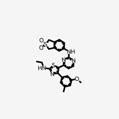 CCNc1nc(-c2cc(C)cc(OC)c2)c(-c2ccnc(Nc3ccc4c(c3)CS(=O)(=O)C4)n2)s1